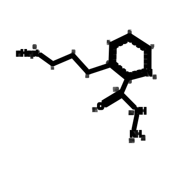 CCCCCCCCCCc1cccnc1C(=O)NN